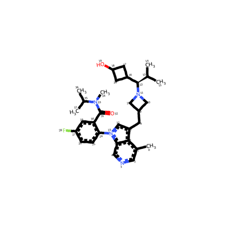 Cc1cncc2c1c(CC1CN([C@H](C(C)C)C3CC(O)C3)C1)cn2-c1ccc(F)cc1C(=O)N(C)C(C)C